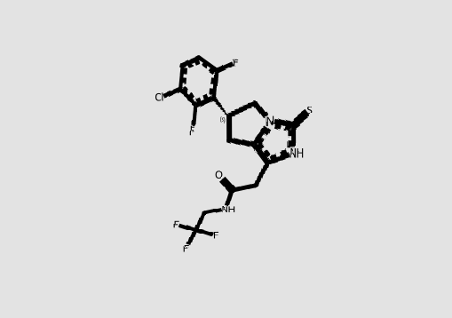 O=C(Cc1[nH]c(=S)n2c1C[C@@H](c1c(F)ccc(Cl)c1F)C2)NCC(F)(F)F